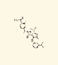 Cc1cc(C(C)NC(=O)c2c(C(F)F)nn(C)c2Oc2cccc(C(C)C)c2)ccc1C(=O)O